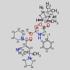 CC1(C)[C@@H]2C[C@H]3OB([C@H](Cc4ccccc4)NC(=O)OC[C@H]4CCCCN4C(=O)C(C#N)=CC(C)(C)N4CCCC4)O[C@@]3(C)[C@H]1C2